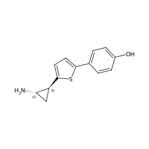 N[C@H]1C[C@@H]1c1ccc(-c2ccc(O)cc2)s1